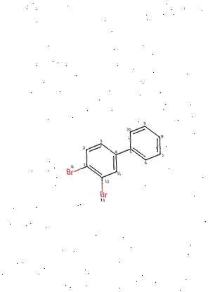 Brc1c[c]c(-c2ccccc2)cc1Br